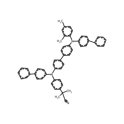 Cc1ccc(N(c2ccc(-c3ccccc3)cc2)c2ccc(-c3ccc(N(c4ccc(-c5ccccc5)cc4)c4ccc(C(C)(C)C#N)cc4)cc3)cc2)c(C)c1